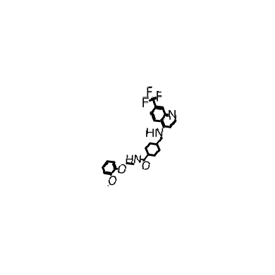 COc1ccccc1OCCNC(=O)C1CCC(CNc2ccnc3cc(C(F)(F)F)ccc23)CC1